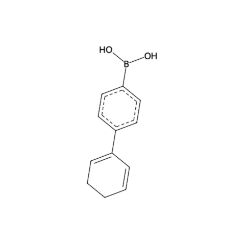 OB(O)c1ccc(C2=CCCC=C2)cc1